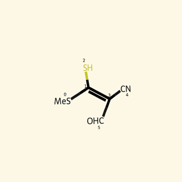 CS/C(S)=C(/C#N)C=O